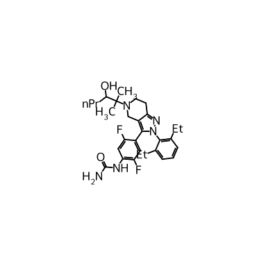 CCCC(O)C(C)(C)N1CCc2nn(-c3c(CC)cccc3CC)c(-c3cc(F)c(NC(N)=O)cc3F)c2C1